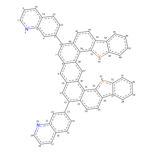 c1cnc2cc(-c3cc4cc5cc(-c6ccc7cccnc7c6)c6ccc7c8ccccc8sc7c6c5cc4c4c3ccc3c5ccccc5sc34)ccc2c1